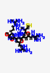 N=C(N)NCCC[C@H](NC(=O)[C@H](CCCNC(=N)N)NC(=O)[C@H](CCCNC(=N)N)NC(=O)[C@@H](N)CS)C(N)=O